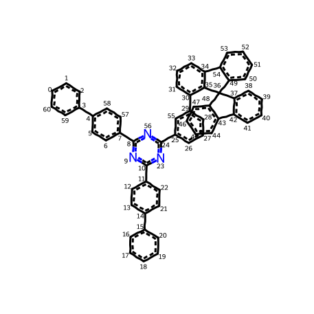 c1ccc(-c2ccc(-c3nc(-c4ccc(-c5ccccc5)cc4)nc(-c4cccc(-c5cccc6c5C5(c7ccccc7-c7ccccc75)c5ccccc5-6)c4)n3)cc2)cc1